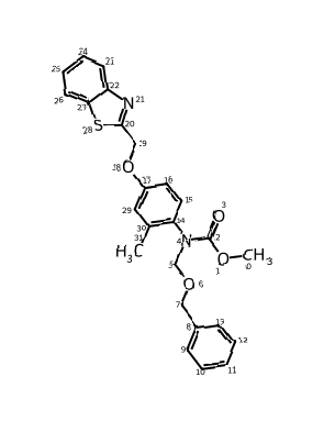 COC(=O)N(COCc1ccccc1)c1ccc(OCc2nc3ccccc3s2)cc1C